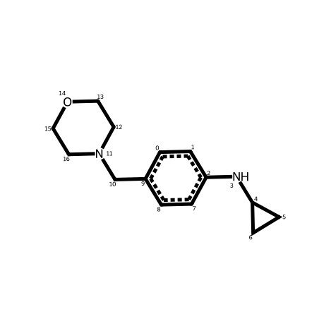 c1cc(NC2CC2)ccc1CN1CCOCC1